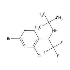 CC(C)(C)NC(c1ccc(Br)cc1Cl)C(F)(F)F